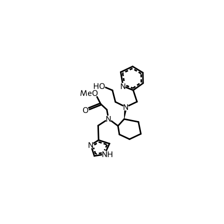 COC(=O)CN(Cc1c[nH]cn1)C1CCCC[C@@H]1N(CCO)Cc1ccccn1